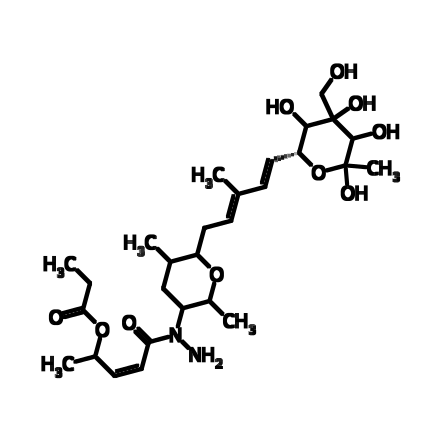 CCC(=O)OC(C)/C=C\C(=O)N(N)C1CC(C)C(C/C=C(C)/C=C/[C@H]2OC(C)(O)C(O)C(O)(CO)C2O)OC1C